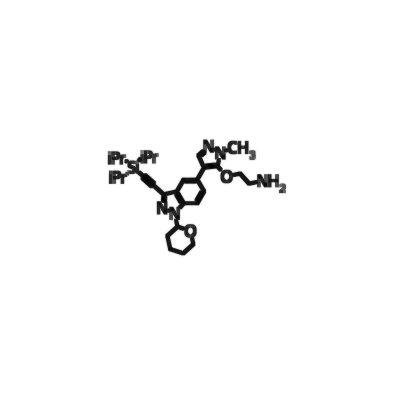 CC(C)[Si](C#Cc1nn(C2CCCCO2)c2ccc(-c3cnn(C)c3OCCN)cc12)(C(C)C)C(C)C